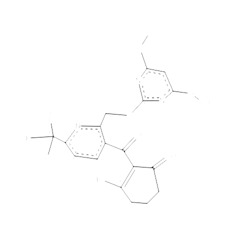 COc1cc(OC)nc(SCc2nc(C(F)(F)F)ccc2C(=O)C2=C(O)CCCC2=O)n1